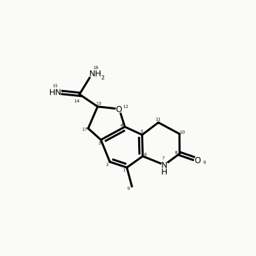 Cc1cc2c(c3c1NC(=O)CC3)OC(C(=N)N)C2